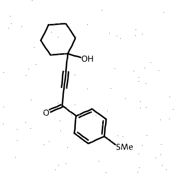 CSc1ccc(C(=O)C#CC2(O)CCCCC2)cc1